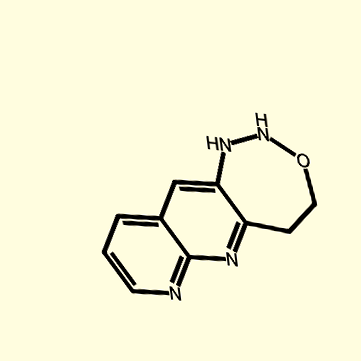 c1cnc2nc3c(cc2c1)NNOCC3